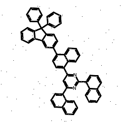 c1ccc(C2(c3ccccc3)c3ccccc3-c3cc(-c4ccc(-c5cc(-c6cccc7ccccc67)nc(-c6cccc7ccccc67)n5)c5ccccc45)ccc32)cc1